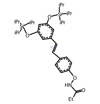 CCC(=O)NOc1ccc(/C=C/c2cc(O[Si](C(C)C)(C(C)C)C(C)C)cc(O[Si](C(C)C)(C(C)C)C(C)C)c2)cc1